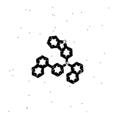 c1cc(-c2cccc3ccccc23)cc(N(c2ccc3oc4ccccc4c3c2)c2cccc3ccccc23)c1